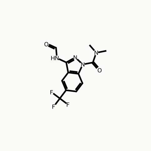 CN(C)C(=O)n1nc(NC=O)c2cc(C(F)(F)F)ccc21